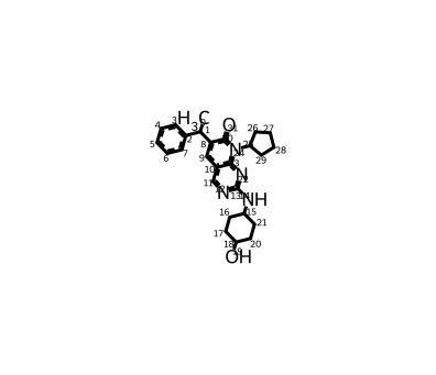 CC(c1ccccc1)c1cc2cnc(NC3CCC(O)CC3)nc2n(C2CCCC2)c1=O